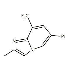 Cc1cn2cc(C(C)C)cc(C(F)(F)F)c2n1